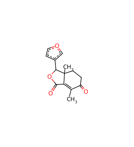 CC1=C2C(=O)OC(c3ccoc3)C2(C)CCC1=O